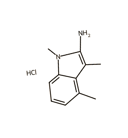 Cc1cccc2c1c(C)c(N)n2C.Cl